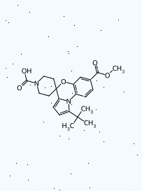 COC(=O)c1ccc2c(c1)OC1(CCN(C(=O)O)CC1)c1ccc(C(C)(C)C)n1-2